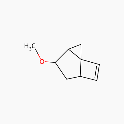 COC1CC2C=CC23CC13